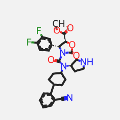 COC(=O)[C@H]1OC(=O)N(C(=O)N(C2CCC(c3ccccc3C#N)CC2)[C@@H]2CCNC2)[C@@H]1c1ccc(F)c(F)c1